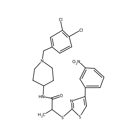 CC(Sc1nc(-c2cccc([N+](=O)[O-])c2)cs1)C(=O)NC1CCN(Cc2ccc(Cl)c(Cl)c2)CC1